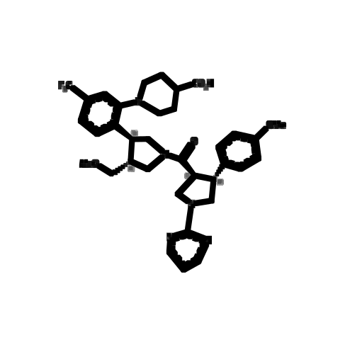 COC[C@H]1CN(C(=O)[C@@H]2CN(c3ncccn3)C[C@H]2c2ccc(OC)cc2)C[C@@H]1c1ccc(C(F)(F)F)cc1N1CCC(C(=O)O)CC1